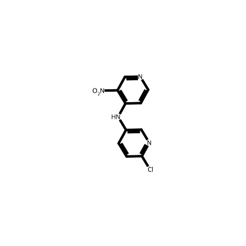 O=[N+]([O-])c1cnccc1Nc1ccc(Cl)nc1